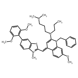 CCCN(CCCN(C)C)C1=CC(=Cc2sc3cc(-c4c(OC)cccc4OC)ccc3[n+]2C)c2ccc(OC)cc2N1Cc1ccccc1